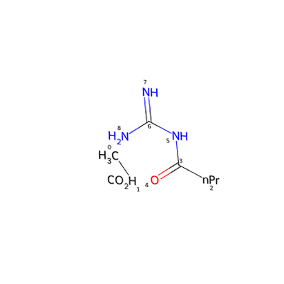 CC(=O)O.CCCC(=O)NC(=N)N